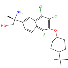 CC(C)(C)C1CCC(Oc2c(Cl)c(Cl)c3cc([C@@](C)(N)CO)ccc3c2Cl)CC1